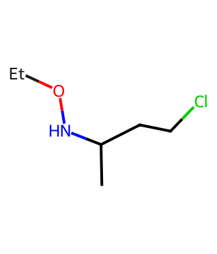 CCONC(C)CCCl